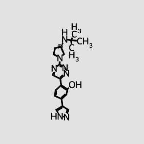 CC(C)(C)N[C@@H]1CCN(c2ncc(-c3ccc(-c4cn[nH]c4)cc3O)nn2)C1